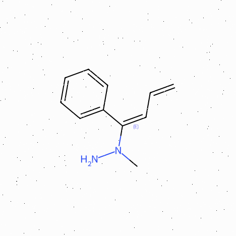 C=C/C=C(\c1ccccc1)N(C)N